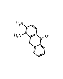 Nc1ccc2c(c1N)Cc1ccccc1[S+]2[O-]